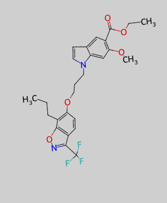 CCCc1c(OCCCn2ccc3cc(C(=O)OCC)c(OC)cc32)ccc2c(C(F)(F)F)noc12